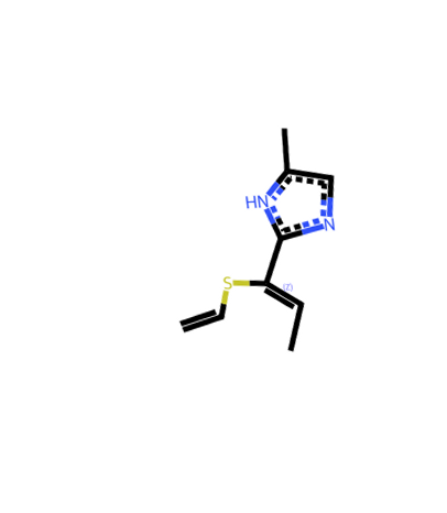 C=CS/C(=C\C)c1ncc(C)[nH]1